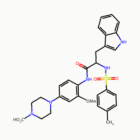 COc1cc(N2CCN(C(=O)O)CC2)ccc1NC(=O)C(Cc1c[nH]c2ccccc12)NS(=O)(=O)c1ccc(C)cc1